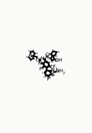 CN(c1nc(OCC23CCCN2CCC3)nc2c(F)c(-c3ccc(F)c4sc(N)nc34)c(C(F)(F)F)cc12)[C@H]1C[C@@H](O)C12CCCC2